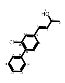 CC(O)C=Cc1ccc(-c2ccccc2)c(Cl)c1